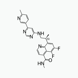 CNC(=O)c1ccnc2c([C@H](C)CNc3cc(-c4ccc(C)nc4)ncn3)cc(F)c(F)c12